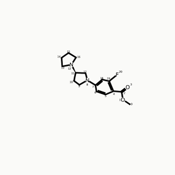 COC(=O)c1ccc(N2CC[C@@H](N3CCCC3)C2)cc1F